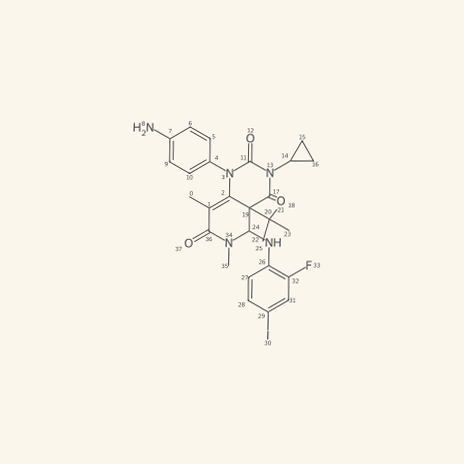 CC1=C2N(c3ccc(N)cc3)C(=O)N(C3CC3)C(=O)C2(C(C)(C)C)C(Nc2ccc(I)cc2F)N(C)C1=O